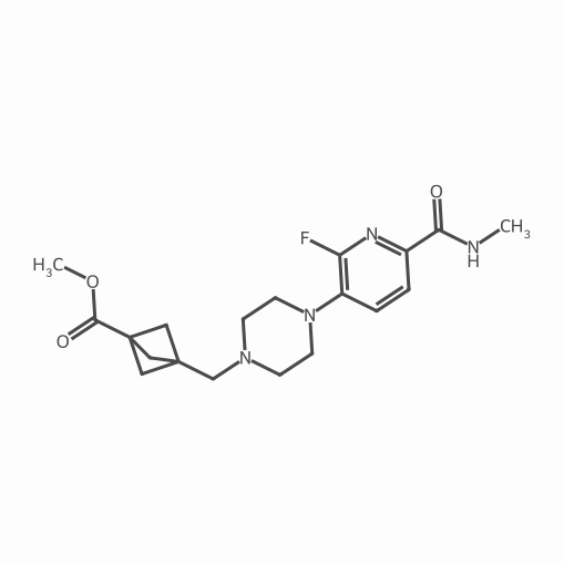 CNC(=O)c1ccc(N2CCN(CC34CC(C(=O)OC)(C3)C4)CC2)c(F)n1